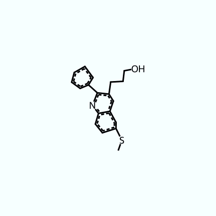 CSc1ccc2nc(-c3ccccc3)c(CCCO)cc2c1